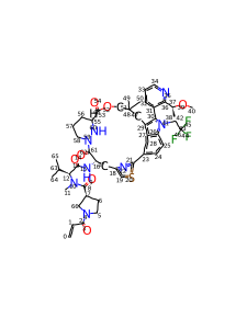 C=CC(=O)N1CC[C@H](C(=O)N(C)[C@H](C(=O)N[C@H]2Cc3csc(n3)-c3ccc4c(c3)c(c(-c3cccnc3[C@H](C)OC)n4CC(F)(F)F)CC(C)(C)COC(=O)[C@@H]3CCCN(N3)C2=O)C(C)C)C1